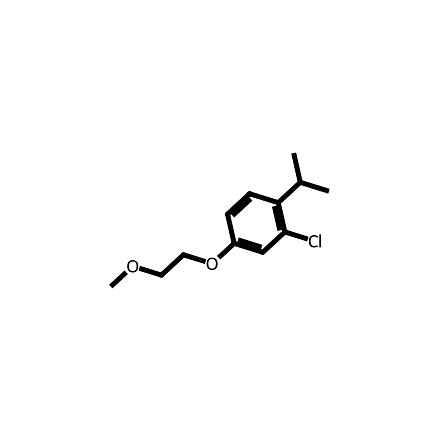 COCCOc1ccc(C(C)C)c(Cl)c1